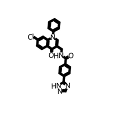 O=C(NCc1cn(-c2ccccc2)c2cc(Cl)ccc2c1=O)c1ccc(-c2ncn[nH]2)cc1